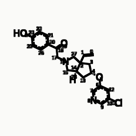 C=CC12C[C@H](Oc3cncc(Cl)c3)C[C@H]1CN(CC(=O)c1ccc(O)cc1)C2